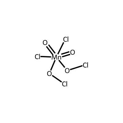 [O]=[Mn](=[O])([Cl])([Cl])([O]Cl)[O]Cl